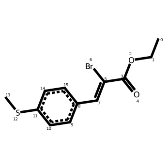 CCOC(=O)/C(Br)=C/c1ccc(SC)cc1